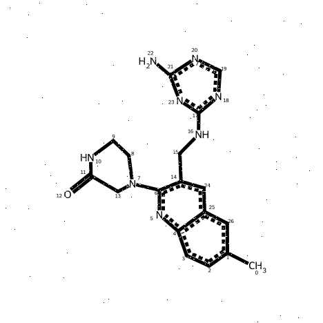 Cc1ccc2nc(N3CCNC(=O)C3)c(CNc3ncnc(N)n3)cc2c1